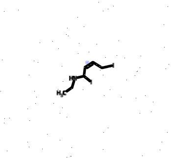 CCNC(I)/C=C\CI